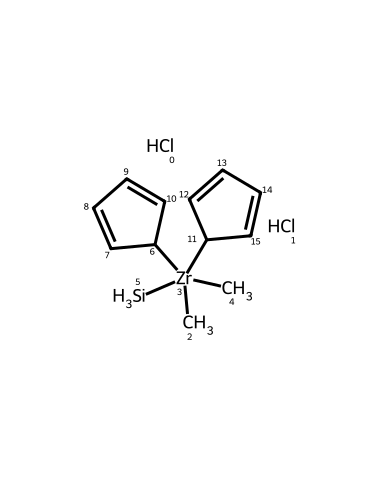 Cl.Cl.[CH3][Zr]([CH3])([SiH3])([CH]1C=CC=C1)[CH]1C=CC=C1